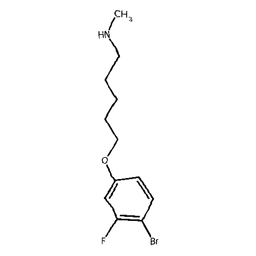 CNCCCCCOc1ccc(Br)c(F)c1